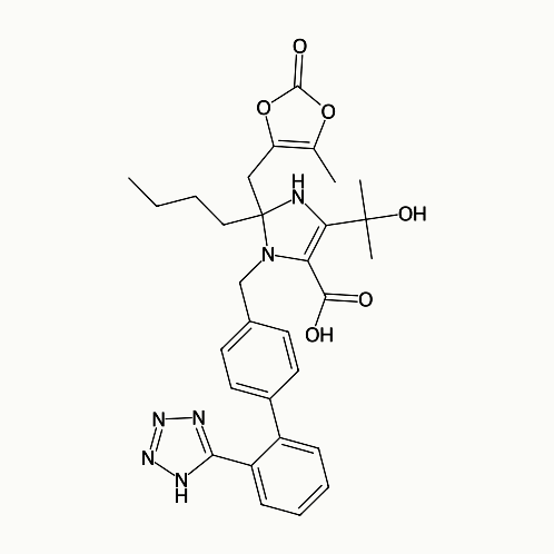 CCCCC1(Cc2oc(=O)oc2C)NC(C(C)(C)O)=C(C(=O)O)N1Cc1ccc(-c2ccccc2-c2nnn[nH]2)cc1